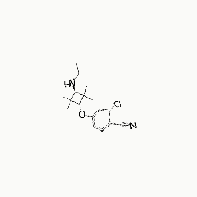 CCN[C@H]1C(C)(C)[C@H](Oc2ccc(C#N)c(Cl)c2)C1(C)C